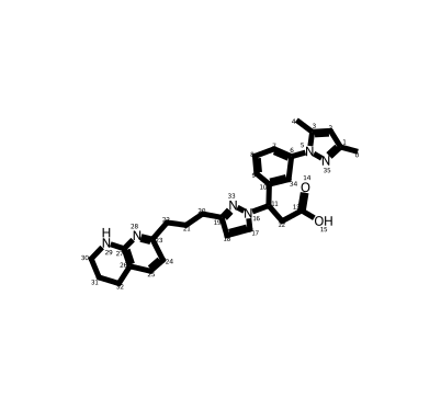 Cc1cc(C)n(-c2cccc(C(CC(=O)O)n3ccc(CCCc4ccc5c(n4)NCCC5)n3)c2)n1